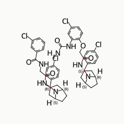 NC(=O)Nc1cc(Cl)ccc1OCC(=O)N[C@@H]1C[C@H]2CC[C@@H](C1)N2Cc1ccc(Cl)cc1.O=C(CNC(=O)c1cccc(Cl)c1)N[C@H]1C[C@H]2CC[C@@H](C1)N2Cc1ccc(Cl)cc1